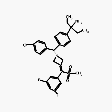 CCC(N)(CC)c1ccc([C@@H](c2ccc(Cl)cc2)N2CC(=C(c3cc(F)cc(F)c3)S(C)(=O)=O)C2)cc1